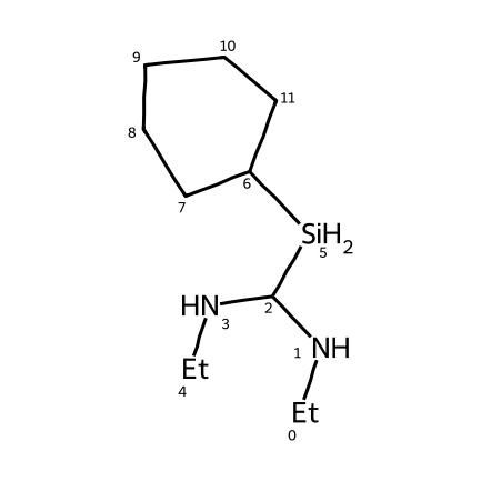 CCNC(NCC)[SiH2]C1CCCCC1